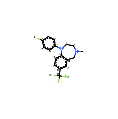 CN1CCN(c2ccc(F)cc2)c2ccc(C(F)(F)F)cc2C1